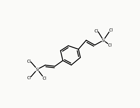 Cl[Si](Cl)(Cl)C=Cc1ccc(C=C[Si](Cl)(Cl)Cl)cc1